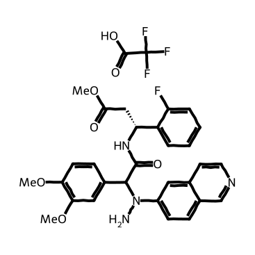 COC(=O)C[C@@H](NC(=O)C(c1ccc(OC)c(OC)c1)N(N)c1ccc2cnccc2c1)c1ccccc1F.O=C(O)C(F)(F)F